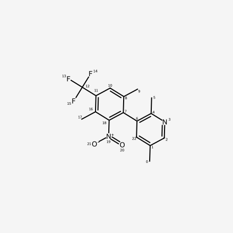 Cc1cnc(C)c(-c2c(C)cc(C(F)(F)F)c(C)c2[N+](=O)[O-])c1